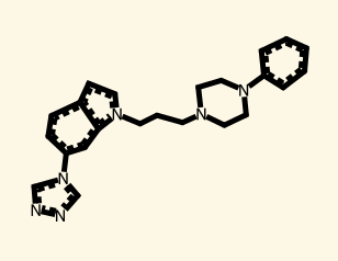 c1ccc(N2CCN(CCCn3ccc4ccc(-n5cnnc5)cc43)CC2)cc1